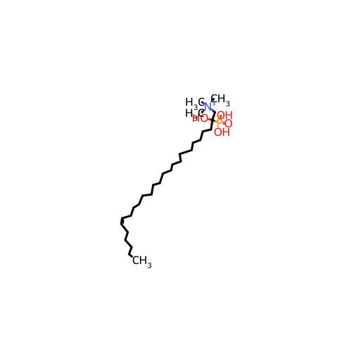 CCCCC/C=C\CCCCCCCCCCCCCCCCCC(O)(C[N+](C)(C)C)P(=O)(O)O